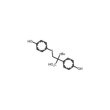 CCCCC(CSc1ccc(O)cc1)(C(=O)O)c1ccc(O)cc1